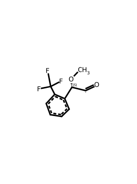 CO[C@H]([C]=O)c1ccccc1C(F)(F)F